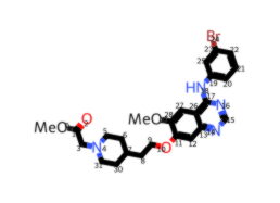 COC(=O)CN1CCC(CCOc2cc3ncnc(Nc4cccc(Br)c4)c3cc2OC)CC1